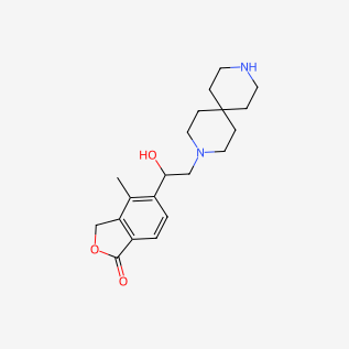 Cc1c(C(O)CN2CCC3(CCNCC3)CC2)ccc2c1COC2=O